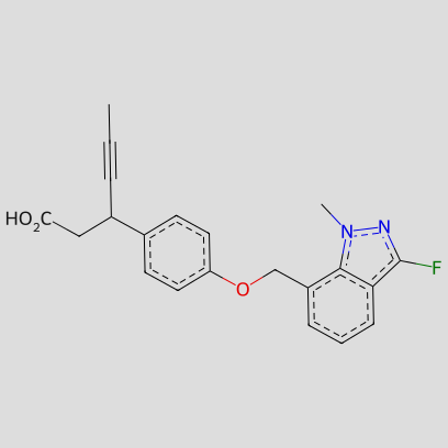 CC#CC(CC(=O)O)c1ccc(OCc2cccc3c(F)nn(C)c23)cc1